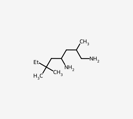 CCC(C)(C)CC(N)CC(C)CN